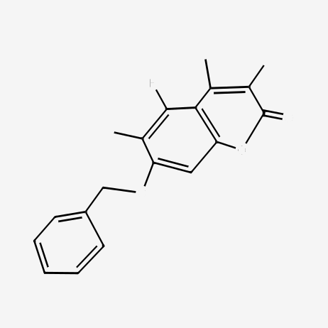 Cc1c(F)c(=O)oc2cc(OCc3ccccc3)c(F)c(F)c12